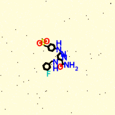 CS(=O)(=O)Cc1ccc(Nc2cc(NCc3cccc(F)c3)c(C(N)=O)nn2)cc1